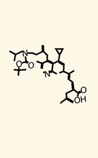 C=C(C)C/C(=C\C=C(/C)C(C)\C=C(C(/C(C)=N\C)=C(\CC(=C)CCN(CC(C)C)C(=O)OC(C)(C)C)C(=C)C)\C1CC1)C(=O)O